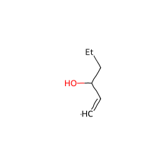 [CH]=CC(O)CCC